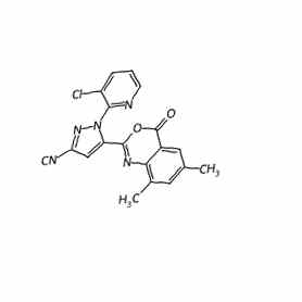 [C-]#[N+]c1cc(-c2nc3c(C)cc(C)cc3c(=O)o2)n(-c2ncccc2Cl)n1